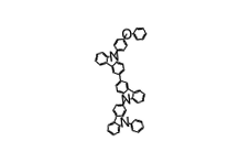 c1ccc(Oc2ccc(-n3c4ccccc4c4cc(-c5ccc6c(c5)c5ccccc5n6-c5ccc6c7ccccc7n(-c7ccccc7)c6c5)ccc43)cc2)cc1